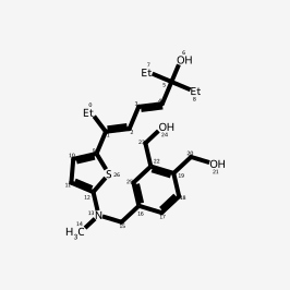 CCC(=CC=CC(O)(CC)CC)c1ccc(N(C)Cc2ccc(CO)c(CO)c2)s1